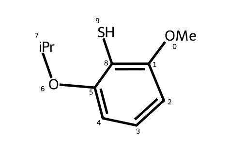 COc1cccc(OC(C)C)c1S